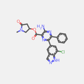 CN1CC(OC(=O)c2nc(-c3cc(Cl)c4[nH]ncc4c3)c(-c3ccccc3)nc2N)CC1=O